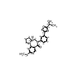 CSc1ncc2c(n1)N1CCC[C@H]1CN(c1cccc(-c3noc(C(C)C)n3)c1)C2=O